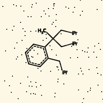 CC(C)Cc1ccccc1C(C)(CC(C)C)CC(C)C